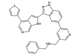 c1ccc(CNCc2cncc(-c3ccc4[nH]nc(-c5cc6c(-c7ccsc7)cncc6[nH]5)c4c3)c2)cc1